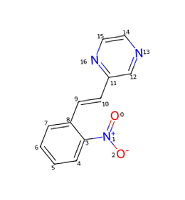 O=[N+]([O-])c1ccccc1C=Cc1cnccn1